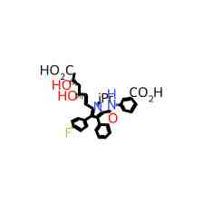 CC(C)n1c(C=C[C@H](O)C[C@H](O)CC(=O)O)c(-c2ccc(F)cc2)c(-c2ccccc2)c1C(=O)Nc1cccc(C(=O)O)c1